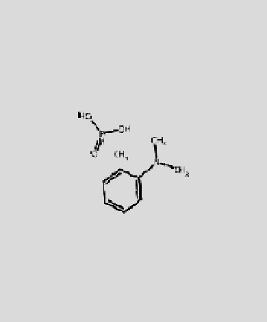 C.CN(C)c1ccccc1.O=[PH](O)O